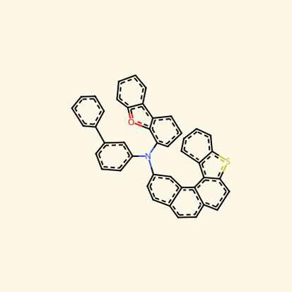 c1ccc(-c2cccc(N(c3ccc4ccc5ccc6sc7ccccc7c6c5c4c3)c3cccc4c3oc3ccccc34)c2)cc1